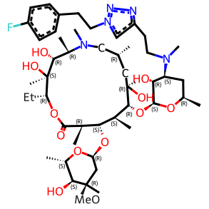 CC[C@H]1OC(=O)[C@H](C)[C@@H](O[C@H]2C[C@@](C)(OC)[C@@H](O)[C@H](C)O2)[C@H](C)[C@@H](O[C@@H]2O[C@H](C)C[C@H](N(C)CCc3cn(CCc4ccc(F)cc4)nn3)[C@H]2O)[C@](C)(O)C[C@@H](C)CN(C)[C@H](C)[C@@H](O)[C@]1(C)O